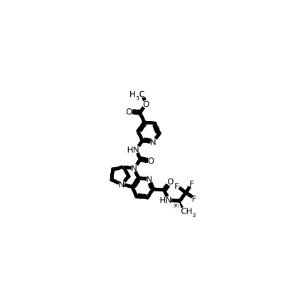 COC(=O)c1ccnc(NC(=O)N2c3nc(C(=O)N[C@H](C)C(F)(F)F)ccc3N3CCC2C3)c1